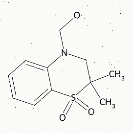 CC1(C)CN(C[O])c2ccccc2S1(=O)=O